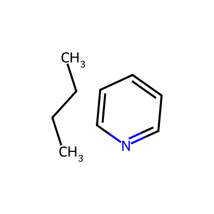 CCCC.c1ccncc1